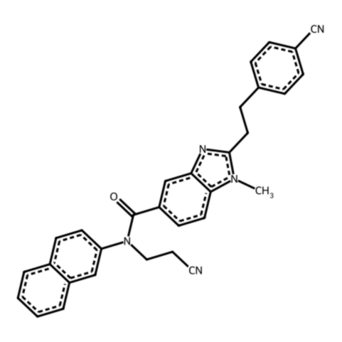 Cn1c(CCc2ccc(C#N)cc2)nc2cc(C(=O)N(CCC#N)c3ccc4ccccc4c3)ccc21